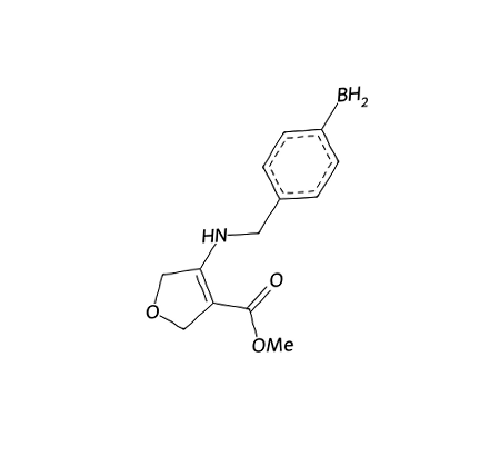 Bc1ccc(CNC2=C(C(=O)OC)COC2)cc1